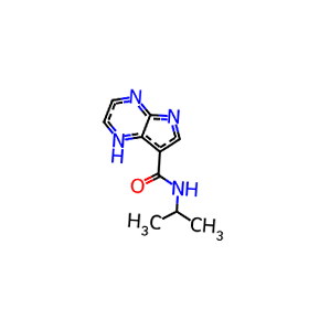 CC(C)NC(=O)c1cnc2ncc[nH]c1-2